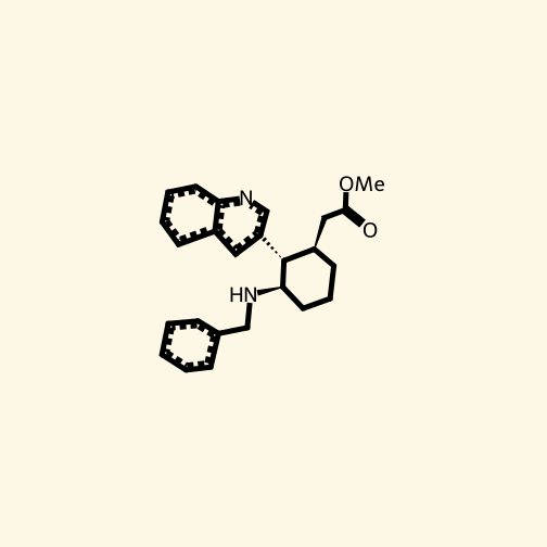 COC(=O)C[C@H]1CCC[C@@H](NCc2ccccc2)[C@@H]1c1cnc2ccccc2c1